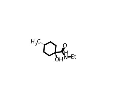 CCNC(=O)[C@]1(O)CC[C@H](C)CC1